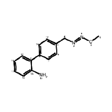 CON=NCc1ccc(-c2ccccc2N)cc1